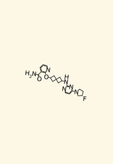 NC(=O)c1cccnc1OC1CC2(CC(Nc3nccc(N4CC[C@H](F)C4)n3)C2)C1